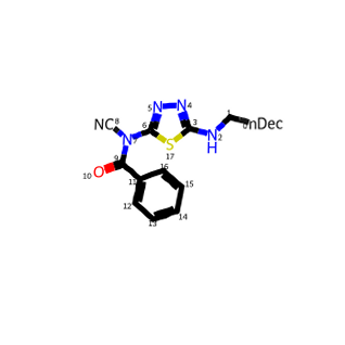 CCCCCCCCCCCNc1nnc(N(C#N)C(=O)c2ccccc2)s1